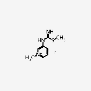 CSC(=N)Nc1ccc[n+](C)c1.[I-]